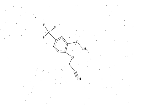 C#CCOc1ccc(C(F)(F)F)cc1OC